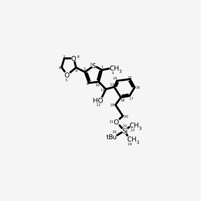 Cc1sc(C2OCCO2)cc1C(O)c1ccccc1CCO[Si](C)(C)C(C)(C)C